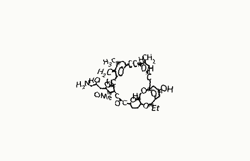 C=C1C2C[C@H]3OC(CC(O)CN)[C@H](OC)C3CC(=O)CC3CCC4O[C@H](CC)C5C[C@H](O)C[C@](CC[C@H]6CC(=C)[C@H](CCC(C[C@H]1C)O2)O6)(OC[C@H]4O3)O5